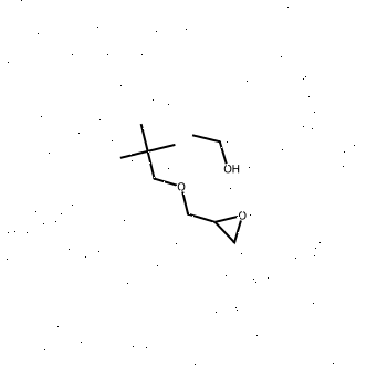 CC(C)(C)COCC1CO1.CCO